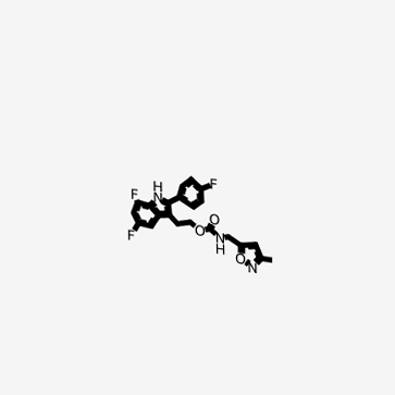 Cc1cc(CNC(=O)OCCc2c(-c3ccc(F)cc3)[nH]c3c(F)cc(F)cc23)on1